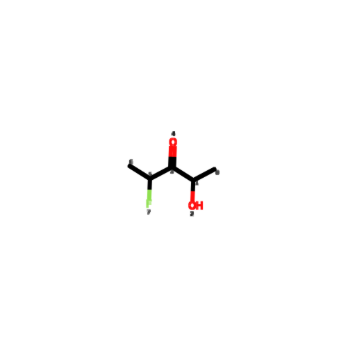 CC(O)C(=O)C(C)F